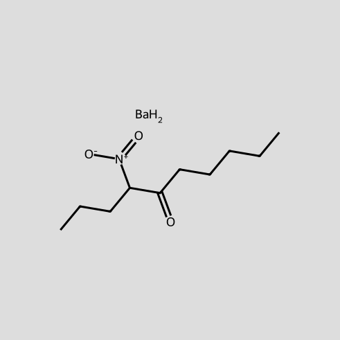 CCCCCC(=O)C(CCC)[N+](=O)[O-].[BaH2]